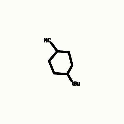 CC(C)(C)C1CCC(C#N)CC1